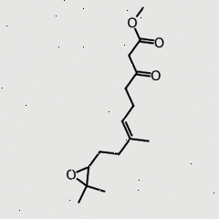 COC(=O)CC(=O)CCC=C(C)CCC1OC1(C)C